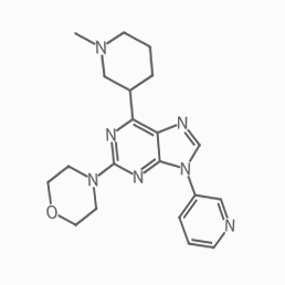 CN1CCCC(c2nc(N3CCOCC3)nc3c2ncn3-c2cccnc2)C1